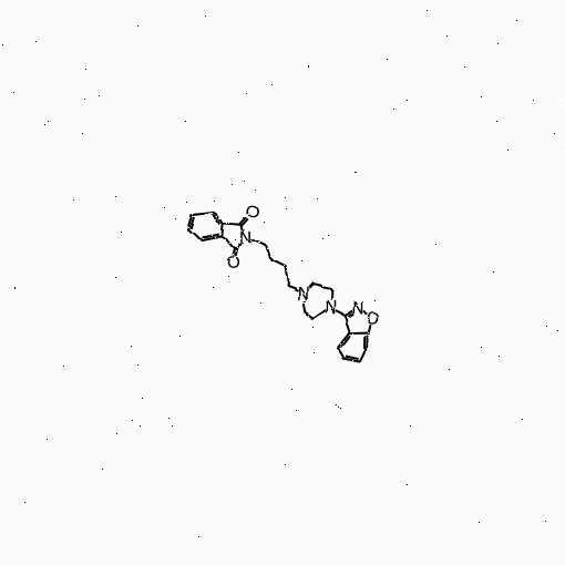 O=C1c2ccccc2C(=O)N1CCCCN1CCN(c2noc3ccccc23)CC1